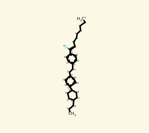 CCCCCCCC=C(F)c1ccc(CCc2ccc(C3CCC(CCC)CC3)cc2)cc1